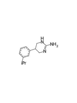 CC(C)c1cccc(C2CN=C(N)NC2)c1